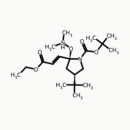 CCOC(=O)/C=C/[C@@]1(O[SiH](C)C)C[C@H](C(C)(C)C)CN1C(=O)OC(C)(C)C